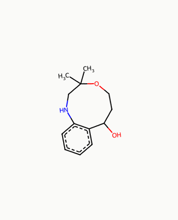 CC1(C)CNc2ccccc2C(O)CCO1